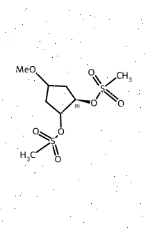 COC1CC(OS(C)(=O)=O)[C@H](OS(C)(=O)=O)C1